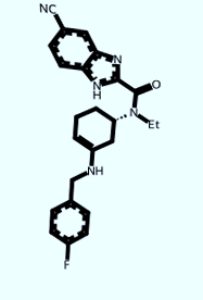 CCN(C(=O)c1nc2cc(C#N)ccc2[nH]1)[C@H]1CCC=C(NCc2ccc(F)cc2)C1